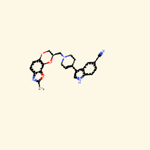 Cc1nc2ccc3c(c2o1)OC(CN1CC=C(c2c[nH]c4ccc(C#N)cc24)CC1)CO3